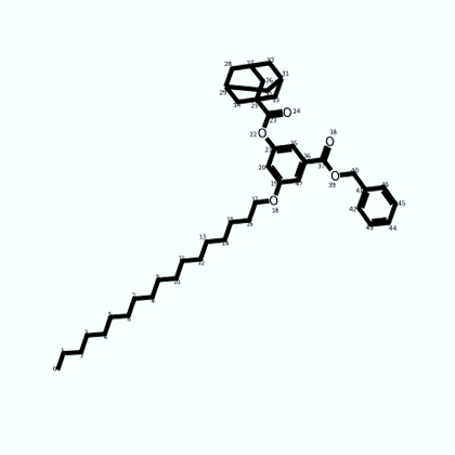 CCCCCCCCCCCCCCCCCCOc1cc(OC(=O)C23CC4CC(CC(C4)C2)C3)cc(C(=O)OCc2ccccc2)c1